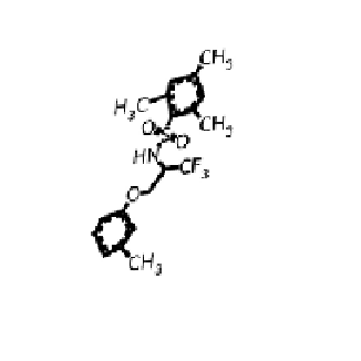 Cc1cccc(OCC(NS(=O)(=O)c2c(C)cc(C)cc2C)C(F)(F)F)c1